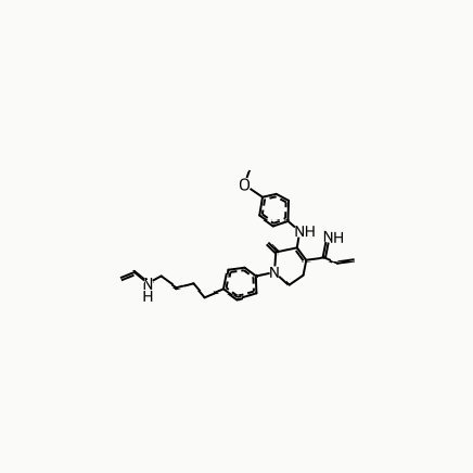 C=CNCCCCc1ccc(N2CCC(C(=N)C=C)=C(Nc3ccc(OC)cc3)C2=C)cc1